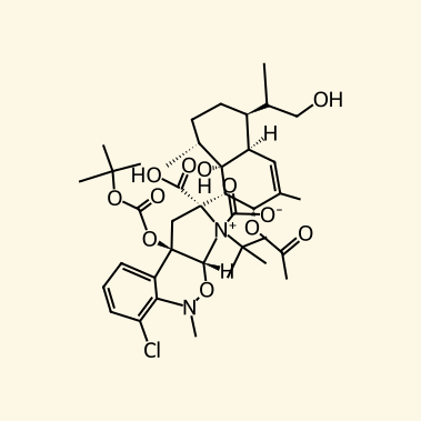 CC(=O)O[C@H]1C(C)=C[C@@H]2[C@H](C(C)CO)CC[C@@H](C)[C@]2(O)[C@H]1[C@]1(C(=O)O)C[C@@]2(OC(=O)OC(C)(C)C)c3cccc(Cl)c3N(C)O[C@H]2[N+]1(C(=O)[O-])C(C)(C)C